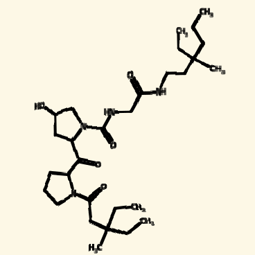 CCCC(C)(CC)CCNC(=O)CNC(=O)N1CC(O)CC1C(=O)C1CCCN1C(=O)CC(C)(CC)CC